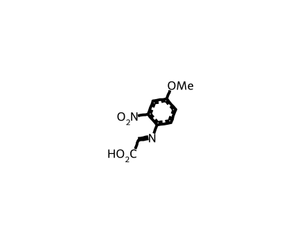 COc1ccc(N=CC(=O)O)c([N+](=O)[O-])c1